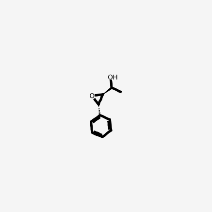 CC(O)[C@@H]1O[C@H]1c1ccccc1